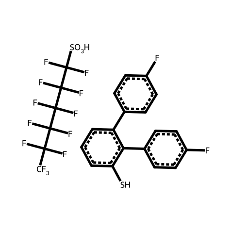 Fc1ccc(-c2cccc(S)c2-c2ccc(F)cc2)cc1.O=S(=O)(O)C(F)(F)C(F)(F)C(F)(F)C(F)(F)C(F)(F)C(F)(F)F